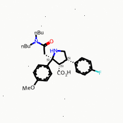 CCCCN(CCCC)C(=O)C[C@]1(c2ccc(OC)cc2)NC[C@H](c2ccc(F)cc2)[C@@H]1C(=O)O